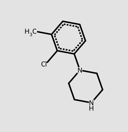 Cc1cccc(N2CCNCC2)c1Cl